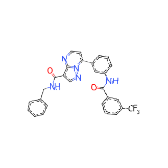 O=C(Nc1cccc(-c2ccnc3c(C(=O)NCc4ccccc4)cnn23)c1)c1cccc(C(F)(F)F)c1